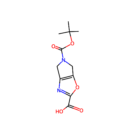 CC(C)(C)OC(=O)N1Cc2nc(C(=O)O)oc2C1